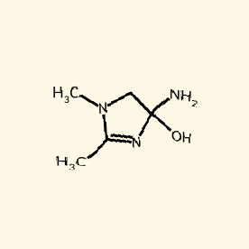 CC1=NC(N)(O)CN1C